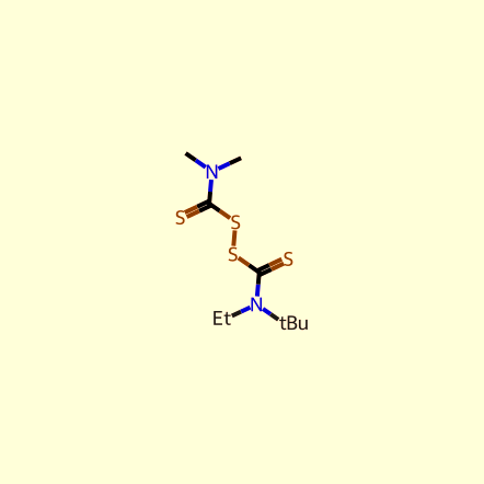 CCN(C(=S)SSC(=S)N(C)C)C(C)(C)C